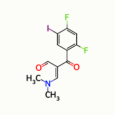 CN(C)C=C(C=O)C(=O)c1cc(I)c(F)cc1F